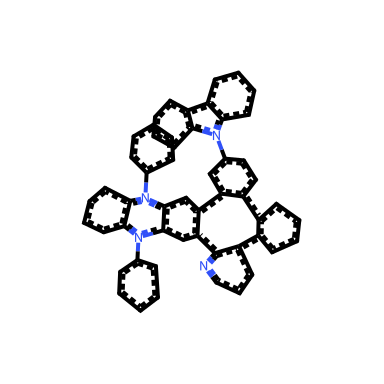 c1ccc(-n2c3ccccc3n(-c3ccccc3)c3cc4c(cc32)c2cc(-n3c5ccccc5c5ccccc53)ccc2c2ccccc2c2cccnc24)cc1